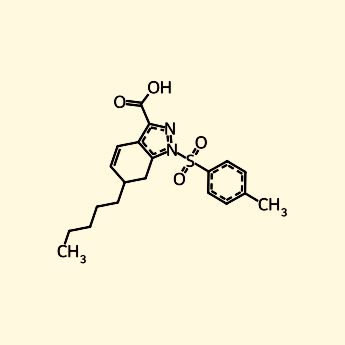 CCCCCC1C=Cc2c(C(=O)O)nn(S(=O)(=O)c3ccc(C)cc3)c2C1